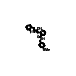 COc1ccc(CNC(=O)c2cccnc2C[C@H](O)[C@H](N)Cc2ccccc2F)cc1